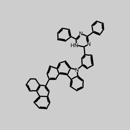 C1=Cc2c(c(-c3ccc4ccc5c(c4c3)c3ccccc3n5-c3cccc(C4N=C(c5ccccc5)N=C(c5ccccc5)N4)c3)cc3ccccc23)CC1